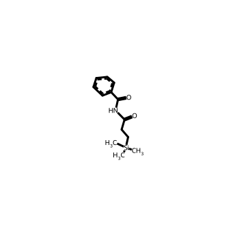 C[Si](C)(C)CCC(=O)NC(=O)c1ccccc1